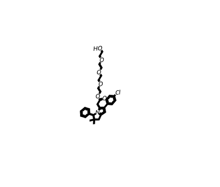 CC1(C)Cc2cc(-c3ccc(Cl)cc3)c(CC(=O)OCCOCCOCCOCCO)n2C1c1ccccc1